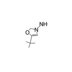 CC(C)(C)C1=CN([NH])CO1